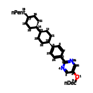 CCCCCCCCCCOc1cnc(-c2ccc([C@H]3CC[C@H]([C@H]4CC[C@H](CCCCC)CC4)CC3)cc2)nc1